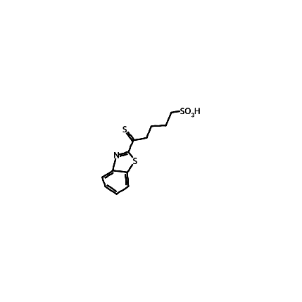 O=S(=O)(O)CCCCC(=S)c1nc2ccccc2s1